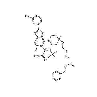 Cc1cc2nc(-c3cccc(Br)c3)cn2c(N2CCC(C)(OCCOC[C@@H](C)OCc3ccccc3)CC2)c1[C@H](OC(C)(C)C)C(=O)O